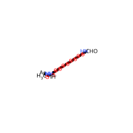 CC(=O)C(C)NC(=O)C(NC(=O)CCOCCOCCOCCOCCOCCOCCOCCOCCNC=O)C(C)C